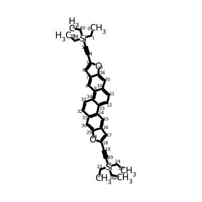 CC[Si](C#Cc1cc2cc3c(ccc4c5cc6cc(C#C[Si](CC)(CC)CC)oc6cc5ccc34)cc2o1)(CC)CC